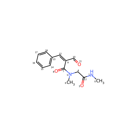 CNC(=O)CN(C)C(=O)C([C]=O)=Cc1ccccc1